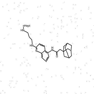 CCCCCCCNCCCNc1ccc2c(NC(=O)CC34CC5CC(CC(C5)C3)C4)cccc2n1